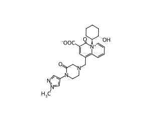 Cn1cc(N2CCN(CC3=C4C=CC=C[N+]4([C@H]4CCCC[C@@H]4O)C(=O)C(C(=O)[O-])=C3)CC2=O)cn1